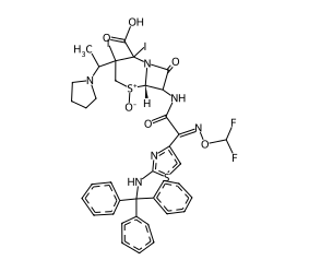 CC(N1CCCC1)C1(I)C[S+]([O-])[C@H]2C(NC(=O)C(=NOC(F)F)c3csc(NC(c4ccccc4)(c4ccccc4)c4ccccc4)n3)C(=O)N2C1(I)C(=O)O